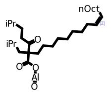 CCCCCCCC/C=C\CCCCCCCCC(CC(C)C)(C(=O)CCC(C)C)C(=O)[O][Al]=[O]